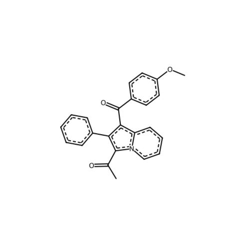 COc1ccc(C(=O)c2c(-c3ccccc3)c(C(C)=O)n3ccccc23)cc1